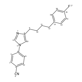 N#Cc1ccc(-n2cnc(CCCCc3ccc(F)cc3)c2)cc1